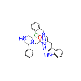 O=C(CN1CCNCC1c1ccccc1)NC(CNCc1ccccc1Cl)Cc1c[nH]c2ccccc12